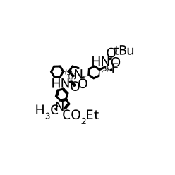 CCOC(=O)c1cc2cc(NC(=O)[C@@H]3[C@H](C4CCCCC4)CCN3C(=O)[C@H]3CC[C@H]([C@@H](CF)NC(=O)OC(C)(C)C)CC3)ccc2n1C